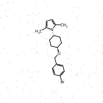 Cc1ccc(C)n1[C@H]1CC[C@H](OCc2ccc(Br)cc2)CC1